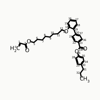 C=CC(=O)OCCCCCCCCOc1ccccc1-c1ccc(C(=O)Oc2ccc(CCC)cc2)cc1